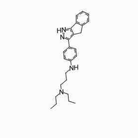 CCCN(CCC)CCCNc1ccc(-c2n[nH]c3c2Cc2ccccc2-3)cc1